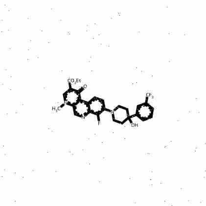 CCOC(=O)c1cn(C)c2cnc3c(F)c(N4CCC(O)(c5cccc(C(F)(F)F)c5)CC4)ccc3c2c1=O